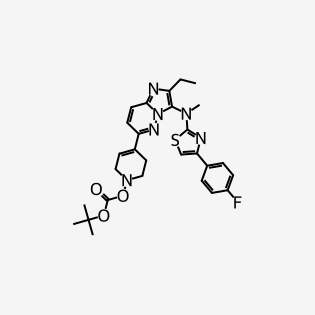 CCc1nc2ccc(C3=CCN(OC(=O)OC(C)(C)C)CC3)nn2c1N(C)c1nc(-c2ccc(F)cc2)cs1